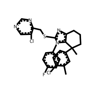 Cc1cc(C2(C)CCCc3nc(SCc4ncncc4Cl)n(-c4ccc(F)cc4)c32)ccc1Cl